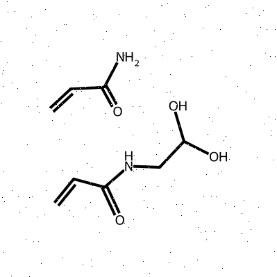 C=CC(=O)NCC(O)O.C=CC(N)=O